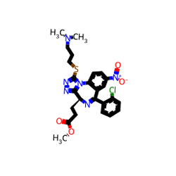 COC(=O)CC[C@@H]1N=C(c2ccccc2Cl)c2cc([N+](=O)[O-])ccc2-n2c(SCCCN(C)C)nnc21